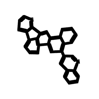 c1cnc2c(c1)-c1cccc3c1c-2cc1c2ccccc2c(-c2cnc4ccccc4c2)cc31